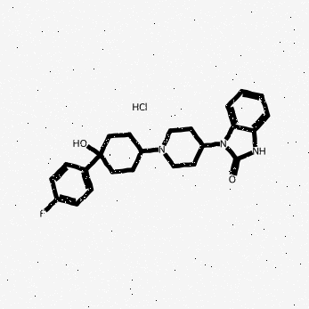 Cl.O=c1[nH]c2ccccc2n1C1CCN(C2CCC(O)(c3ccc(F)cc3)CC2)CC1